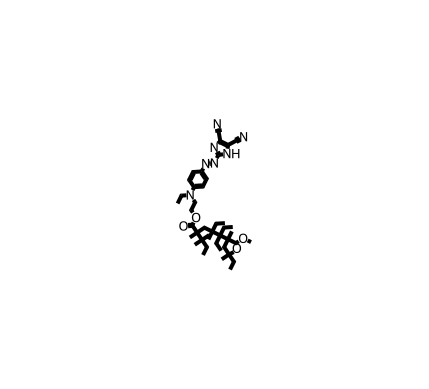 CCN(CCOC(=O)C(C)(CC(C)(CC)C(CC)(CC)C(C)(CC(C)(C)CC)C(=O)OC)C(C)(C)CC)c1ccc(/N=N/c2nc(C#N)c(C#N)[nH]2)cc1